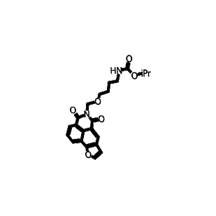 CC(C)OC(=O)NCCCCOCN1C(=O)c2cccc3c2c(cc2ccoc23)C1=O